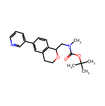 CN(CC1OCCc2cc(-c3cccnc3)ccc21)C(=O)OC(C)(C)C